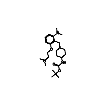 CN(C)CCOc1cccc(N(C)C)c1CN1CCC(NC(=O)OC(C)(C)C)CC1